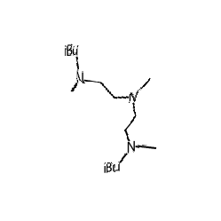 CCC(C)N(C)CCN(C)CCN(C)C(C)CC